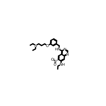 CCNc1cc2ncnc(NCc3cccc(OCCCN(CC)CC)c3)c2cc1[N+](=O)[O-]